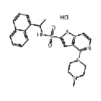 CC(NS(=O)(=O)c1cc2c(N3CCN(C)CC3)nccc2s1)c1cccc2ccccc12.Cl